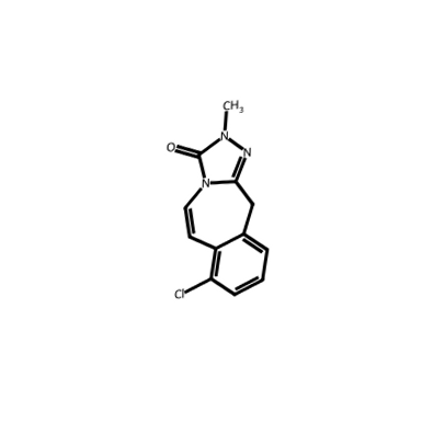 Cn1nc2n(c1=O)C=Cc1c(Cl)cccc1C2